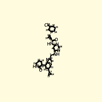 O=C(Nc1cc(NCc2cn3cc(C4CC4)cc(-c4ccc[nH]c4=O)c3n2)ncn1)[C@H]1C[C@@H]1c1cccc(Cl)c1